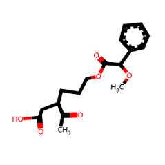 COC(C(=O)OCCCC(CC(=O)O)C(C)=O)c1ccccc1